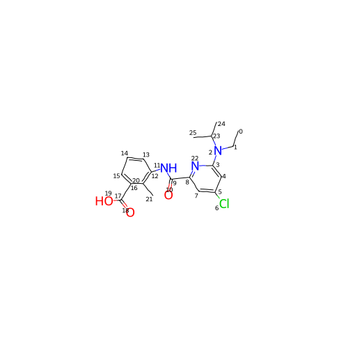 CCN(c1cc(Cl)cc(C(=O)Nc2cccc(C(=O)O)c2C)n1)C(C)C